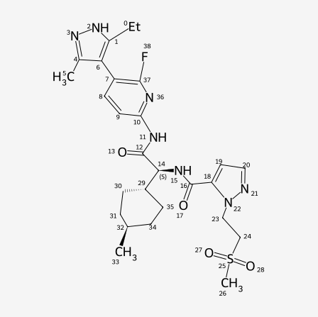 CCc1[nH]nc(C)c1-c1ccc(NC(=O)[C@@H](NC(=O)c2ccnn2CCS(C)(=O)=O)[C@H]2CC[C@H](C)CC2)nc1F